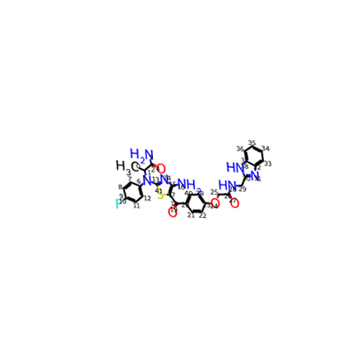 CC(C(N)=O)N(c1ccc(F)cc1)c1nc(N)c(C(=O)c2ccc(OCC(=O)NCc3nc4ccccc4[nH]3)cc2)s1